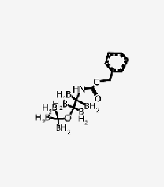 BC(B)(B)OC(B)(B)C(B)(B)NC(=O)OCc1ccccc1